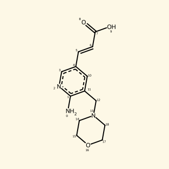 Nc1ncc(/C=C/C(=O)O)cc1CN1CCOCC1